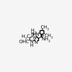 Cc1cc(C)cc(Nc2nc(NC(C=O)C(C)CN)ncc2C(N)=O)c1